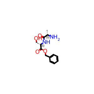 C[C@H](N)C(=O)N[C@@H](CO)C(=O)OCc1ccccc1